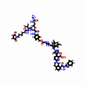 Cc1c(-c2ccc(N3CCc4cccc(C(=O)Nc5nc6ccccc6s5)c4C3)nc2C(=O)O)cnn1CC12CC3(C)CC(C)(C1)CC(NCCNC(=O)OCc1ccc(NC(=O)[C@H](CCCNC(N)=O)NC(=O)[C@@H](NC(=O)CCCCCN4C(=O)C=CC4=O)C(C)C)cc1)(C3)C2